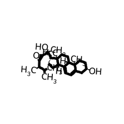 CC(C)[C@@H](C)C1=C([C@](C)(O)[C@H]2CC[C@H]3C4=CC=C5C[C@@H](O)CC[C@]5(C)[C@H]4CC[C@@]32C)O1